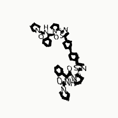 O=C(N[C@@H](C(=O)N1CCC[C@H]1c1ncc(-c2ccc(-c3ccc(-c4cnc([C@@H]5CCCN5C(=O)[C@H](NC(=O)N5CCCC5)c5ccccc5)s4)cc3)cc2)s1)c1ccccc1)N1CCCC1